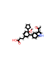 COC1(C2CCCC2)C=CC(CCC(=O)O)=CC1c1ccc2[nH]cc(C(C)=O)c2c1